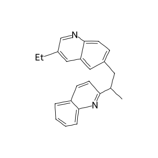 CCc1cnc2ccc(CC(C)c3ccc4ccccc4n3)cc2c1